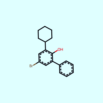 Oc1c(-c2ccccc2)cc(Br)cc1C1CCCCC1